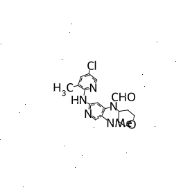 CNc1cnc(Nc2ncc(Cl)cc2C)cc1N(C=O)C1CCOCC1